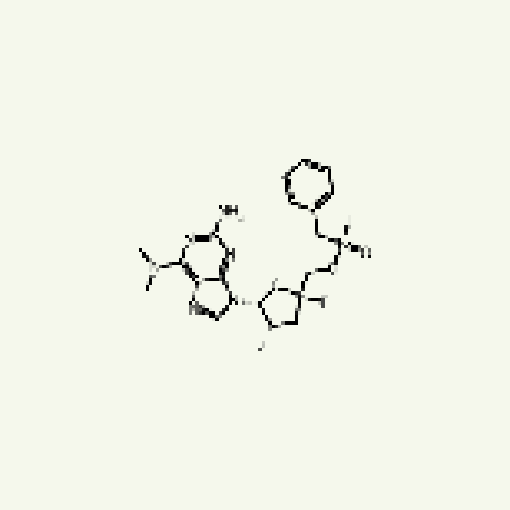 C[C@H]1C[C@@](F)(CO[P@](=O)(I)Cc2ccccc2)O[C@H]1n1cnc2c(N(C)C)nc(N)nc21